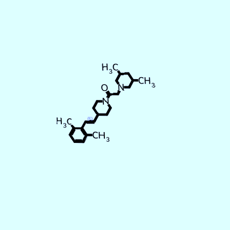 Cc1cccc(C)c1/C=C/C1CCN(C(=O)CN2CC(C)CC(C)C2)CC1